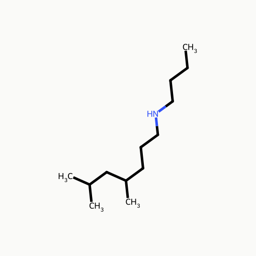 CCCCNCCCC(C)CC(C)C